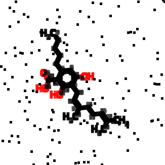 CCCCCc1cc(O)c(CC=C(C)CCC=C(C)C)c(O)c1C(=O)O